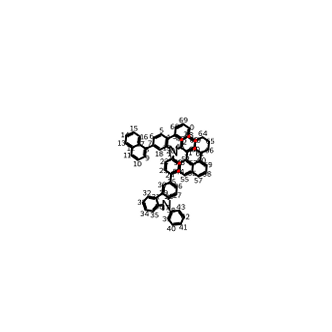 c1ccc(-c2ccc(-c3cccc4ccccc34)cc2N(c2ccc(-c3ccc4c(c3)c3ccccc3n4-c3ccccc3)cc2)c2ccccc2-c2cccc3cccc(C4CCCCC4)c23)cc1